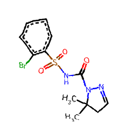 CC1(C)CC=NN1C(=O)NS(=O)(=O)c1ccccc1Br